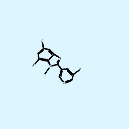 Cn1c(-c2cncc(F)c2)nc2cc(F)cc(F)c21